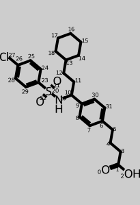 O=C(O)CCCc1ccc(C(CCC2CCCCC2)NS(=O)(=O)c2ccc(Cl)cc2)cc1